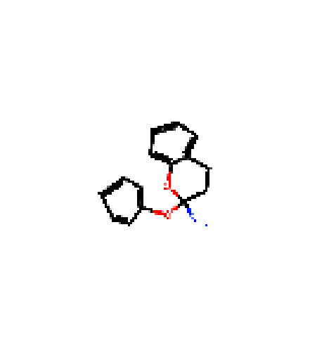 NC1(Oc2ccccc2)CCc2ccccc2O1